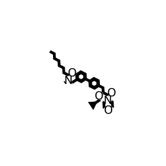 CCCCCCCC(=O)N(C)Cc1cccc(-c2ccc(CC(OCC3CC3)C(=O)N3CCOCC3)cc2)c1